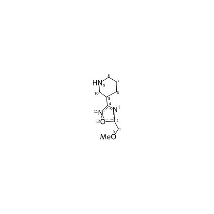 COCc1nc(C2CCCNC2)no1